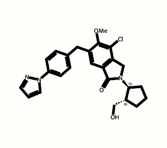 COc1c(Cc2ccc(-n3cccn3)cc2)cc2c(c1Cl)CN([C@H]1CCC[C@@H]1CO)C2=O